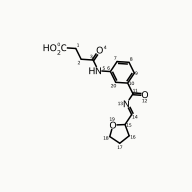 O=C(O)CCC(=O)Nc1cccc(C(=O)N=CC2CCCO2)c1